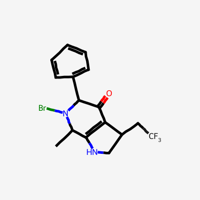 CC1C2=C(C(=O)C(c3ccccc3)N1Br)C(CC(F)(F)F)CN2